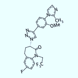 COc1cc(-c2cn([C@H]3CCc4cc(F)ccc4N(CC(F)(F)F)C3=O)nn2)ccc1-n1ccnc1C